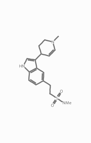 CNS(=O)(=O)CCc1ccc2[nH]cc(C3C=CN(C)CC3)c2c1